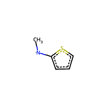 C[N]c1cccs1